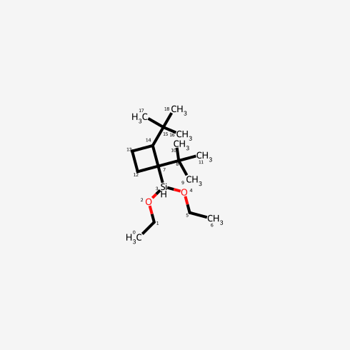 CCO[SiH](OCC)C1(C(C)(C)C)CCC1C(C)(C)C